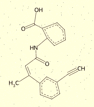 C#Cc1cccc(/C(C)=C\C(=O)Nc2ccccc2C(=O)O)c1